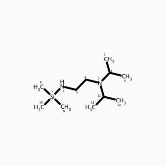 CC(C)N(CCN[Si](C)(C)C)C(C)C